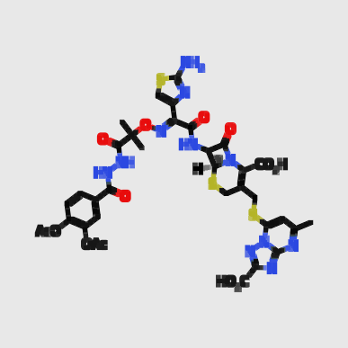 CC(=O)Oc1ccc(C(=O)NNC(=O)C(C)(C)ON=C(C(=O)NC2C(=O)N3C(C(=O)O)=C(CSc4cc(C)nc5nc(C(=O)O)nn45)CS[C@@H]23)c2csc(N)n2)cc1OC(C)=O